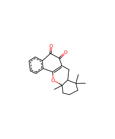 CC1(C)CCCC2(C)OC3=C(CC12)C(=O)C(=O)c1ccccc13